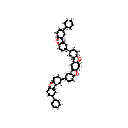 c1ccc(-c2ccc3oc4ccc(-c5ccc6oc7cc8oc9ccc(-c%10ccc%11oc%12ccc(-c%13ccccc%13)cc%12c%11c%10)cc9c8cc7c6c5)cc4c3c2)cc1